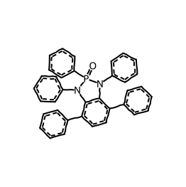 O=P1(c2ccccc2)N(c2ccccc2)c2c(-c3ccccc3)ccc(-c3ccccc3)c2N1c1ccccc1